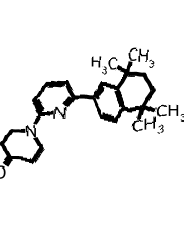 CC1(C)CCC(C)(C)c2cc(-c3cccc(N4CCC(=O)CC4)n3)ccc21